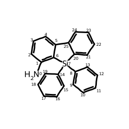 Nc1cccc2c1[Si](c1ccccc1)(c1ccccc1)c1ccccc1-2